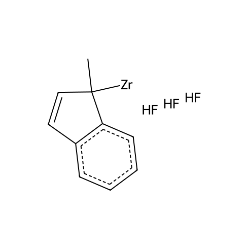 C[C]1([Zr])C=Cc2ccccc21.F.F.F